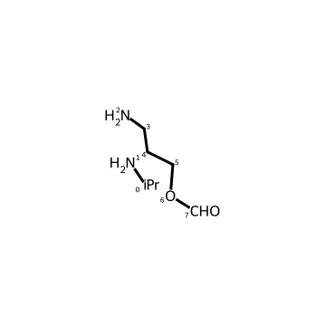 CC(C)N.NCCCOC=O